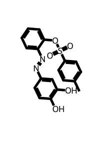 Cc1ccc(S(=O)(=O)Oc2ccccc2/N=N/c2ccc(O)c(O)c2)cc1